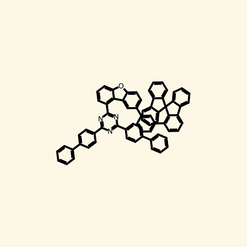 c1ccc(-c2ccc(-c3nc(-c4ccc(-c5ccccc5)cc4)nc(-c4cccc5oc6ccc(-c7cccc(-c8cccc9c8C8(c%10ccccc%10-c%10ccccc%108)c8ccccc8-9)c7)cc6c45)n3)cc2)cc1